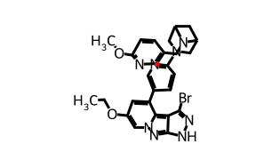 CCOc1cc(-c2ccc(N3CC4CC(C3)N4Cc3ccc(OC)nc3)nc2)c2c3c(Br)n[nH]c3nn2c1